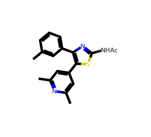 CC(=O)Nc1nc(-c2cccc(C)c2)c(-c2cc(C)nc(C)c2)s1